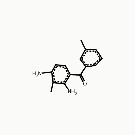 Cc1cccc(C(=O)c2ccc(N)c(C)c2N)c1